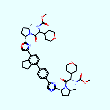 COC(=O)N[C@H](C(=O)N1[C@@H](C)CC[C@H]1c1ncc(-c2ccc(-c3ccc(-c4coc([C@@H]5CC[C@H](C)N5C(=O)[C@@H](NC(=O)OC)C5CCOCC5)n4)c4c3CCC4)cc2)[nH]1)C1CCOCC1